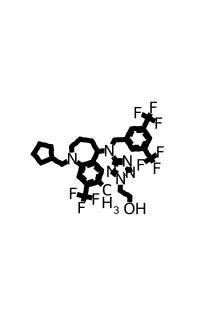 Cc1cc2c(cc1C(F)(F)F)N(CC1CCCC1)CCCC2N(Cc1cc(C(F)(F)F)cc(C(F)(F)F)c1)c1nnn(CCO)n1